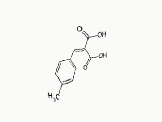 Cc1ccc(C=C(C(=O)O)C(=O)O)cc1